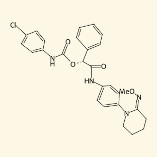 CO/N=C1/CCCCN1c1ccc(NC(=O)[C@H](OC(=O)Nc2ccc(Cl)cc2)c2ccccc2)cc1